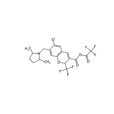 CC1CCC(C)N1Cc1cc2c(cc1Cl)C=C(C(=O)OC(=O)C(F)(F)F)C(C(F)(F)F)O2